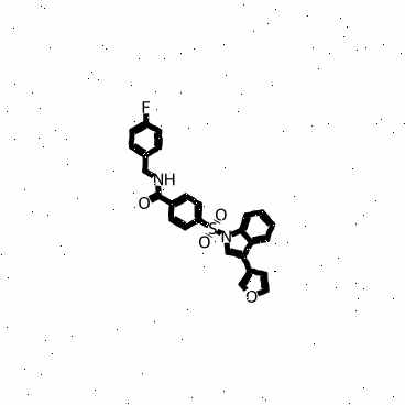 O=C(NCc1ccc(F)cc1)c1ccc(S(=O)(=O)n2cc(-c3ccoc3)c3ccccc32)cc1